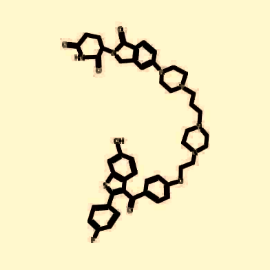 O=C1CCC(N2Cc3cc(N4CCN(CCCN5CCN(CCOc6ccc(C(=O)c7c(-c8ccc(F)cc8)sc8cc(O)ccc78)cc6)CC5)CC4)ccc3C2=O)C(=O)N1